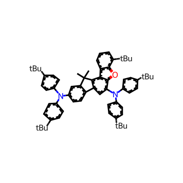 CC(C)(C)c1ccc(N(c2ccc(C(C)(C)C)cc2)c2ccc3c(c2)C(C)(C)c2c-3cc(N(c3ccc(C(C)(C)C)cc3)c3ccc(C(C)(C)C)cc3)c3oc4c(C(C)(C)C)cccc4c23)cc1